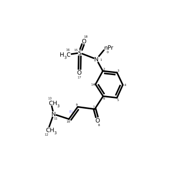 CCCN(c1cccc(C(=O)/C=C/N(C)C)c1)S(C)(=O)=O